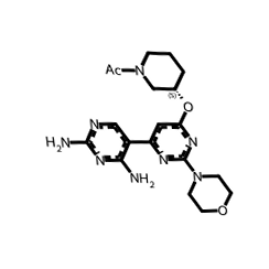 CC(=O)N1CCC[C@H](Oc2cc(-c3cnc(N)nc3N)nc(N3CCOCC3)n2)C1